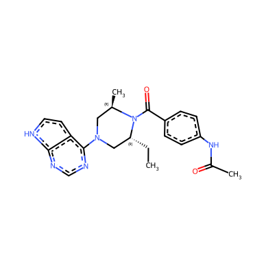 CC[C@@H]1CN(c2ncnc3[nH]ccc23)C[C@@H](C)N1C(=O)c1ccc(NC(C)=O)cc1